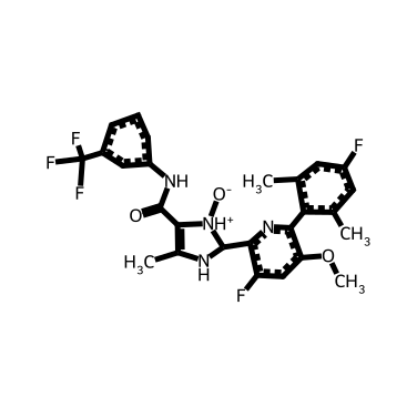 COc1cc(F)c(C2NC(C)=C(C(=O)Nc3cccc(C(F)(F)F)c3)[NH+]2[O-])nc1-c1c(C)cc(F)cc1C